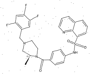 C[C@H]1CN(Cc2cc(F)c(F)cc2F)CCN1C(=O)c1ccc(NS(=O)(=O)c2cccc3cccnc23)cc1